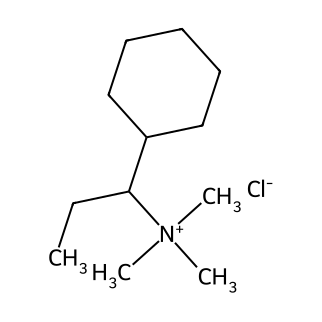 CCC(C1CCCCC1)[N+](C)(C)C.[Cl-]